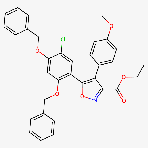 CCOC(=O)c1noc(-c2cc(Cl)c(OCc3ccccc3)cc2OCc2ccccc2)c1-c1ccc(OC)cc1